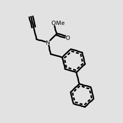 C#CCN(Cc1cccc(-c2ccccc2)c1)C(=O)OC